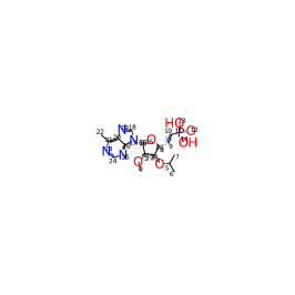 CO[C@@H]1[C@H](OC(C)C)[C@@H](/C=C/P(=O)(O)O)O[C@H]1n1cnc2c(C)ncnc21